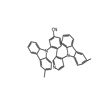 Cc1ccc2c(c1)c1ccccc1n2-c1ccncc1-c1ccc(C#N)cc1-n1c2ccccc2c2cc(C)ccc21